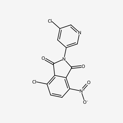 O=C1c2c(Cl)ccc([N+](=O)[O-])c2C(=O)N1c1cncc(Cl)c1